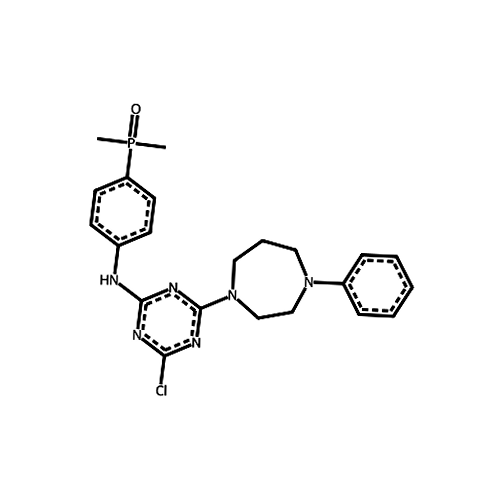 CP(C)(=O)c1ccc(Nc2nc(Cl)nc(N3CCCN(c4ccccc4)CC3)n2)cc1